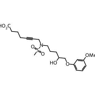 COc1cccc(OCC(O)CCCN(CC#CCCCC(=O)O)S(C)(=O)=O)c1